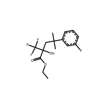 CCOC(=O)C(O)(CC(C)(C)c1cccc(F)c1)C(F)(F)F